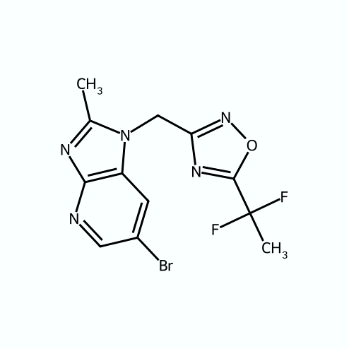 Cc1nc2ncc(Br)cc2n1Cc1noc(C(C)(F)F)n1